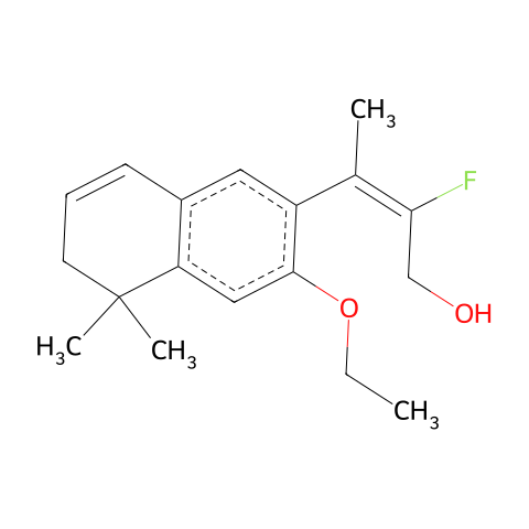 CCOc1cc2c(cc1/C(C)=C(/F)CO)C=CCC2(C)C